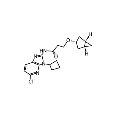 O=C(CCO[C@@H]1C[C@@H]2C[C@@H]2C1)Nc1nc2ccc(Cl)nc2n1C1CCC1